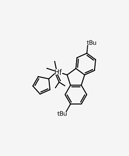 C[C](C)=[Hf]([CH3])([CH3])([CH]1C=CC=C1)[CH]1c2cc(C(C)(C)C)ccc2-c2ccc(C(C)(C)C)cc21